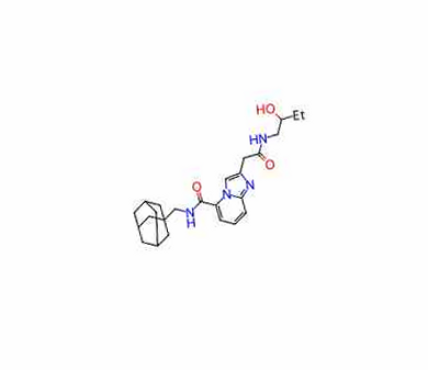 CCC(O)CNC(=O)Cc1cn2c(C(=O)NCC34CC5CC(CC(C5)C3)C4)cccc2n1